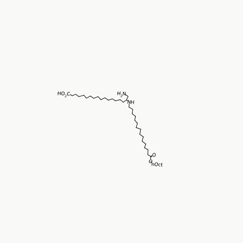 CCCCCCCCOC(=O)CCCCCCCCCCCCCCCNC(CN)CCCCCCCCCCCCCCCC(=O)O